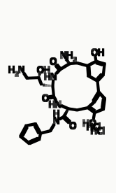 Cl.Cl.NC[C@H](O)C[C@@H]1NC(=O)[C@@H](N)Cc2cc(ccc2O)-c2ccc(O)c(c2)C[C@@H](C(=O)NCc2ccccc2)NC1=O